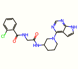 O=C(CNC(=O)c1ccccc1Cl)NC1CCCN(c2ncnc3[nH]ccc23)C1